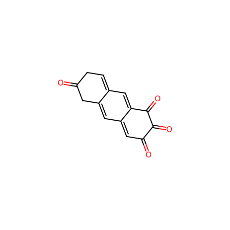 O=C1CC=c2cc3c(cc2C1)=CC(=O)C(=O)C3=O